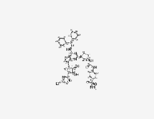 CCn1nnc([C@H]2O[C@@H](n3cnc4c(NCC(c5ccccc5)c5ccccc5)nc(N5CC[C@@H](NC(=O)Nc6ccc(S(N)(=O)=O)cc6)C5)nc43)[C@@H](O)[C@@H]2O)n1